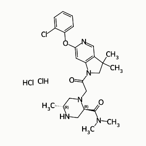 C[C@@H]1CN(CC(=O)N2CC(C)(C)c3cnc(Oc4ccccc4Cl)cc32)[C@@H](C(=O)N(C)C)CN1.Cl.Cl